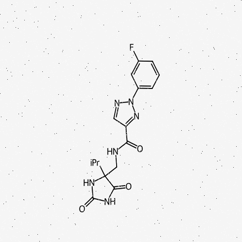 CC(C)C1(CNC(=O)c2cnn(-c3cccc(F)c3)n2)NC(=O)NC1=O